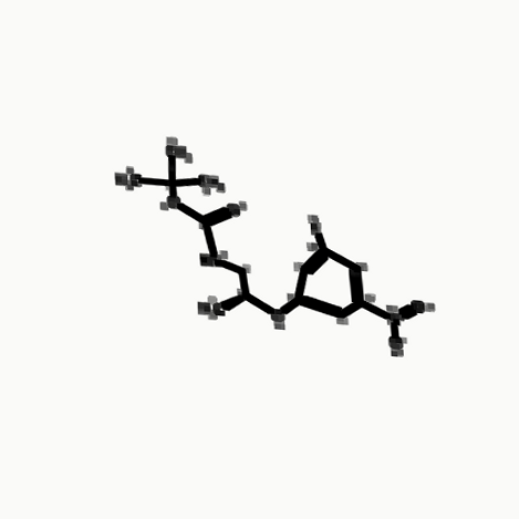 C[C@@H](CNC(=O)OC(C)(C)C)Oc1cc(F)cc([N+](=O)[O-])c1